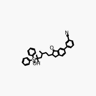 CC(CCC1Cc2ccc(-c3cccc(C#N)c3)cc2C1=O)CC(C)(C)[Si](O)(c1ccccc1)c1ccccc1